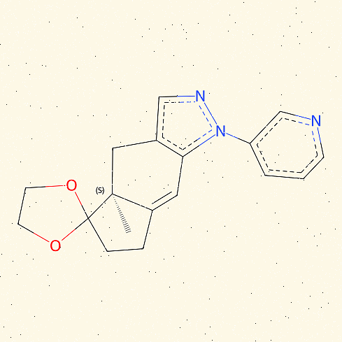 C[C@]12Cc3cnn(-c4cccnc4)c3C=C1CCC21OCCO1